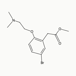 COC(=O)Cc1cc(Br)ccc1OCCN(C)C